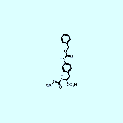 CC(C)(C)OC(=O)N[C@@H](Cc1ccc(NC(=O)OCc2ccccc2)cc1)C(=O)O